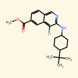 COC(=O)c1ccc2cnc(NC3CCC(C(C)(C)C)CC3)c(Cl)c2c1